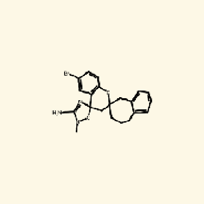 CN1OC2(CC3(CCCc4ccccc4C3)Oc3ccc(Br)cc32)N=C1N